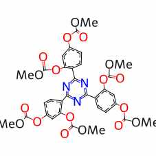 COC(=O)Oc1ccc(-c2nc(-c3ccc(OC(=O)OC)cc3OC(=O)OC)nc(-c3ccc(OC(=O)OC)cc3OC(=O)OC)n2)c(OC(=O)OC)c1